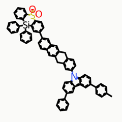 Cc1ccc(-c2ccc3c(c2)c2cc(-c4ccccc4)ccc2n3-c2ccc3c(c2)Cc2cc4ccc(-c5ccc6c(c5)[Si](c5ccccc5)(c5ccccc5)c5ccccc5S6(=O)=O)cc4cc2C3)cc1